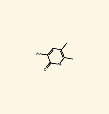 CC(=O)c1cc(C)c(C)[nH]c1=O